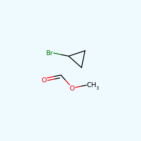 BrC1CC1.COC=O